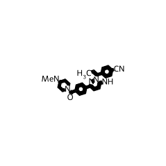 C/C=C(/c1ccc(C#N)cc1)n1nc(-c2ccc(C(=O)N3CCC(NC)CC3)cc2)ccc1=N